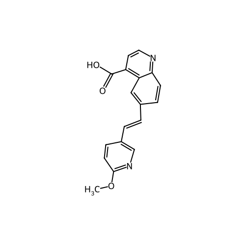 COc1ccc(C=Cc2ccc3nccc(C(=O)O)c3c2)cn1